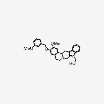 COc1cccc(COc2cc3c(cc2OC)C2Cc4c(n(CO)c5ccccc45)CN2CC3)c1